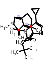 C=C(C)C(/C1=C\[C@@H](C)CN(C(=O)OC(C)(C)C)[C@H](C)CC1)=C1/C(C2CC2)=CN/C1=N/C